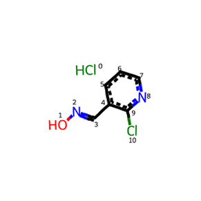 Cl.ON=Cc1cccnc1Cl